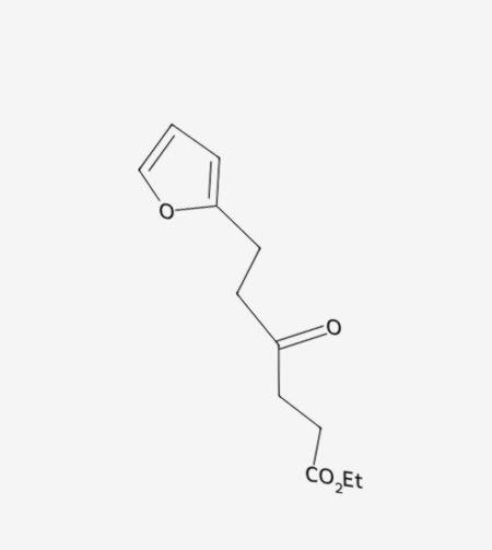 CCOC(=O)CCC(=O)CCc1ccco1